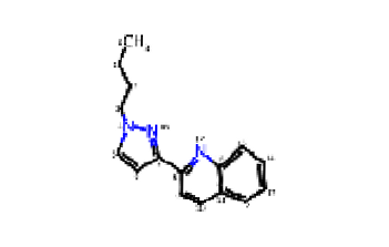 CCCCn1ccc(-c2ccc3ccccc3n2)n1